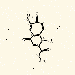 COC(=O)c1cc(=O)c2cc(OC)c(=O)ccc2n1C